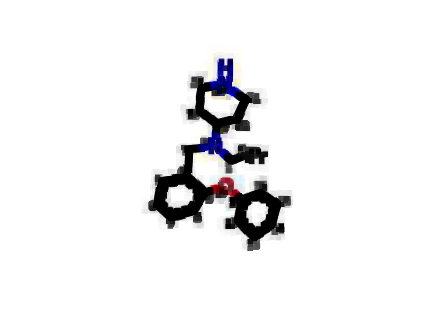 CC(C)CN(Cc1ccccc1Oc1ccccc1)C1CCNCC1